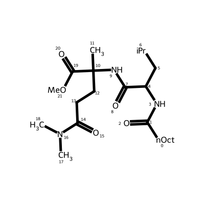 CCCCCCCCC(=O)NC(CC(C)C)C(=O)NC(C)(CCC(=O)N(C)C)C(=O)OC